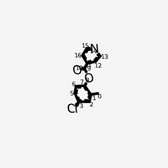 Cc1cc(Cl)ccc1OC(=O)c1ccncc1